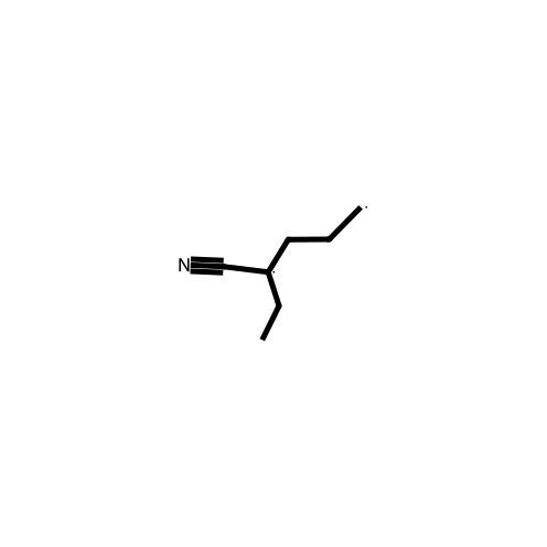 [CH2]CC[C](C#N)CC